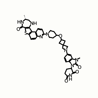 C[C@@H]1CNc2c(sc3ccc4nc(N5CCC(OC6CC7(C6)CN(c6ccc8c(c6)n(C)c(=O)n8C6CCC(=O)NC6=O)C7)CC5)ccc4c23)C(=O)N1